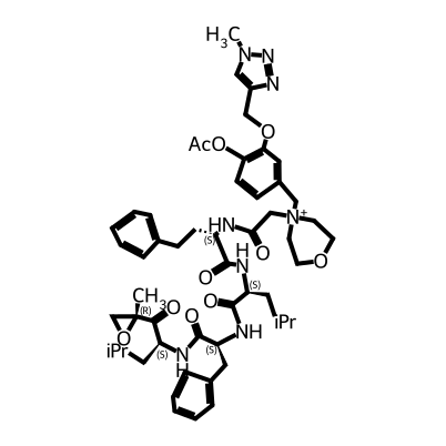 CC(=O)Oc1ccc(C[N+]2(CC(=O)N[C@@H](CCc3ccccc3)C(=O)N[C@@H](CC(C)C)C(=O)N[C@@H](Cc3ccccc3)C(=O)N[C@@H](CC(C)C)C(=O)[C@@]3(C)CO3)CCOCC2)cc1OCc1cn(C)nn1